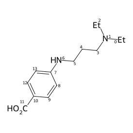 CCN(CC)CCCNc1ccc(C(=O)O)cc1